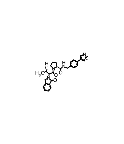 CC(C)C(C(=O)N1CCC[C@H]1C(=O)NCc1ccc(-c2cnoc2)cc1)N1Cc2ccccc2C1=O